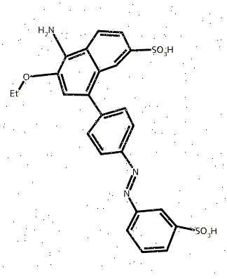 CCOc1cc(-c2ccc(/N=N/c3cccc(S(=O)(=O)O)c3)cc2)c2cc(S(=O)(=O)O)ccc2c1N